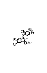 CC(=O)Oc1c(C)c(Sc2ccc(S(C)(=O)=O)cc2Cl)n2cc(F)c(Cl)cc12